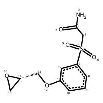 NC(=O)CS(=O)(=O)c1cccc(OC[C@@H]2CO2)c1